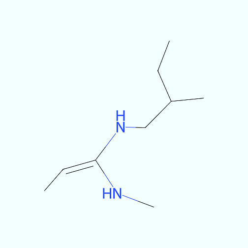 C/C=C(\NC)NCC(C)CC